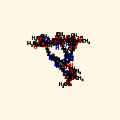 CC(=O)N[C@H]1[C@H](OCCCCCn2cc(CN(CCCC[C@@H](C(=O)O)N(Cc3cn(CCCCCO[C@@H]4O[C@H](COC(C)=O)[C@H](OC(C)=O)[C@H](OC(C)=O)[C@H]4NC(C)=O)nn3)Cc3cn(CCCCCO[C@@H]4O[C@H](COC(C)=O)[C@H](OC(C)=O)[C@H](OC(C)=O)[C@H]4NC(C)=O)nn3)Cc3cn(CCCCCO[C@@H]4O[C@H](COC(C)=O)[C@H](OC(C)=O)[C@H](OC(C)=O)[C@H]4NC(C)=O)nn3)nn2)O[C@H](COC(C)=O)[C@H](OC(C)=O)[C@@H]1OC(C)=O